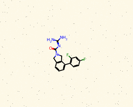 NC(N)=NC(=O)N1Cc2cccc(-c3ccc(F)cc3F)c2C1